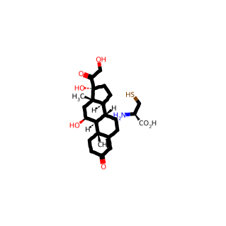 C[C@]12CCC(=O)C=C1CC[C@@H]1[C@@H]2[C@@H](O)C[C@@]2(C)[C@H]1CC[C@]2(O)C(=O)CO.N[C@@H](CS)C(=O)O